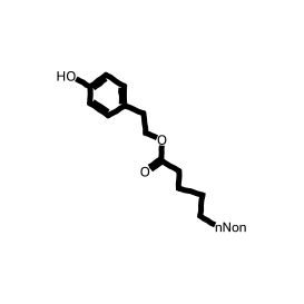 CCCCCCCCCCCCCC(=O)OCCc1ccc(O)cc1